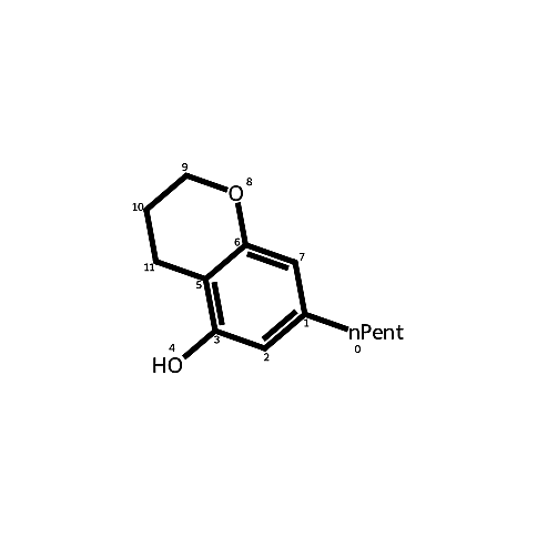 CCCCCc1cc(O)c2c(c1)OCCC2